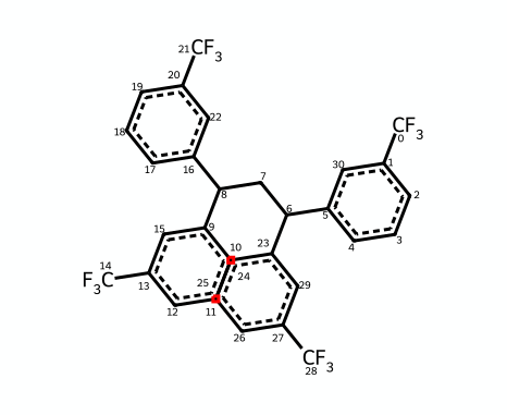 FC(F)(F)c1cccc(C(CC(c2cccc(C(F)(F)F)c2)c2cccc(C(F)(F)F)c2)c2cccc(C(F)(F)F)c2)c1